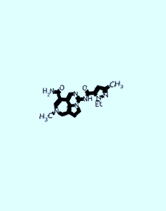 CCn1nc(C)cc1C(=O)NC1=NC=C2C(C(N)=O)=CN(C)CC3=C2N1CC3